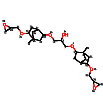 CC12CC(CC1OCC(O)COC1CC3(C)CC1CC3OCC1CO1)C(OCC1CO1)C2